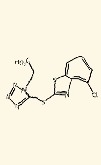 O=C(O)Cn1nnnc1Sc1nc2c(Cl)cccc2s1